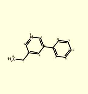 [CH2]Cc1cncc(-c2ccccc2)c1